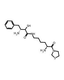 N[C@H](Cc1ccccc1)C(S)C(=O)NCCCC[C@H](N)C(=O)N1CCSC1